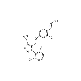 O/N=C/c1ccc(OCc2c(-c3c(Cl)cccc3Cl)noc2C2CC2)cc1Cl